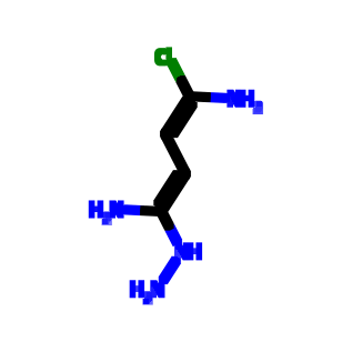 NN/C(N)=C/C=C(\N)Cl